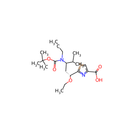 CCCN(C(=O)OC(C)(C)C)C(C[C@@H](OCC)c1nc(C(=O)O)cs1)C(C)C